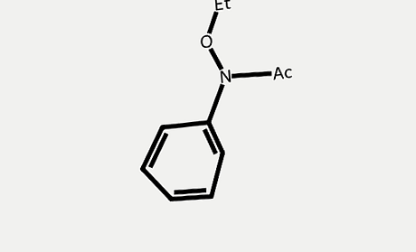 CCON(C(C)=O)c1ccccc1